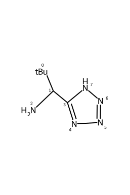 CC(C)(C)C(N)c1nnn[nH]1